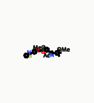 COc1ccc(-c2cc(-c3cc(C)c(C)c(OC)c3)nn2C(C)=O)cc1OCCOc1ccc(-c2nc3ccccc3s2)cc1